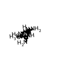 CO[C@@H]1CN(c2cc(CN)cc(Nc3nc(NC4CC4)c4ncc(CN)n4n3)c2Cl)C[C@@H]1N